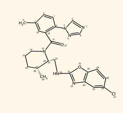 Cc1ccc(-n2cncn2)c(C(=O)N2CCC[C@@H](C)[C@H]2CNc2nc3cc(Cl)ccc3o2)c1